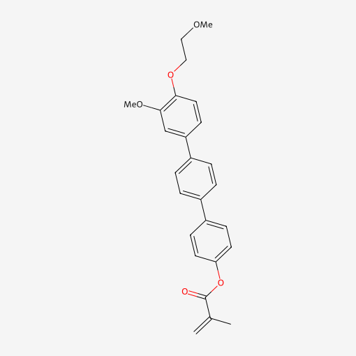 C=C(C)C(=O)Oc1ccc(-c2ccc(-c3ccc(OCCOC)c(OC)c3)cc2)cc1